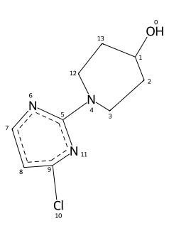 OC1CCN(c2nccc(Cl)n2)CC1